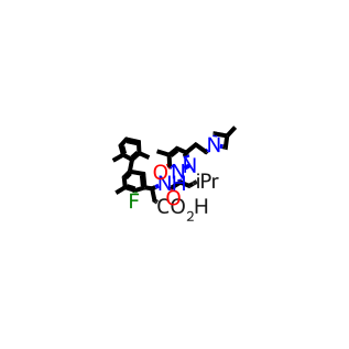 Cc1cc(-c2c(C)cccc2C)cc(C(CC(=O)O)NC(=O)C(CC(C)C)n2nc(CCN3CC(C)C3)cc(C)c2=O)c1F